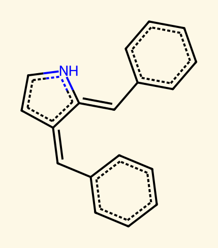 C(c1ccccc1)=c1cc[nH]c1=Cc1ccccc1